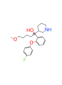 COCCCC[C@@](O)(c1ccccc1Oc1ccc(F)cc1)C1CCCNC1